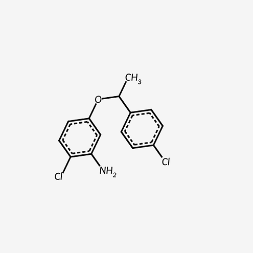 CC(Oc1ccc(Cl)c(N)c1)c1ccc(Cl)cc1